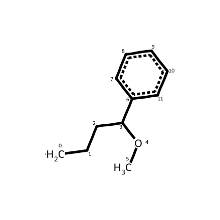 [CH2]CCC(OC)c1ccccc1